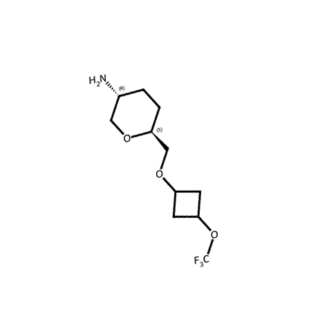 N[C@@H]1CC[C@@H](COC2CC(OC(F)(F)F)C2)OC1